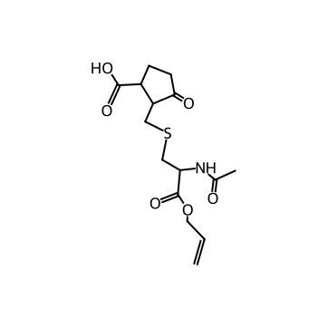 C=CCOC(=O)C(CSCC1C(=O)CCC1C(=O)O)NC(C)=O